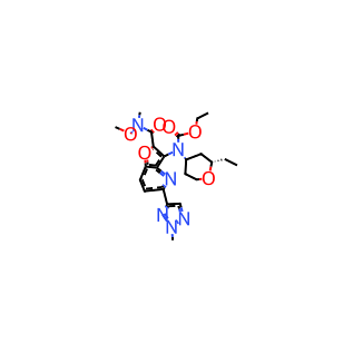 CCOC(=O)N(c1c(C(=O)N(C)OC)oc2ccc(-c3cnn(C)n3)nc12)[C@H]1CCO[C@@H](CC)C1